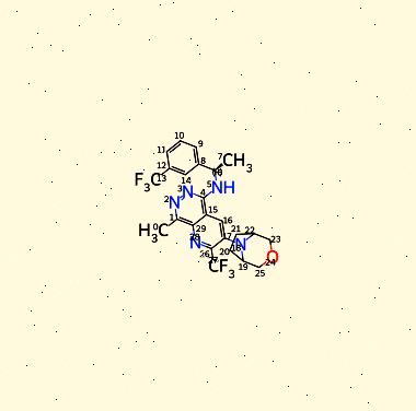 Cc1nnc(N[C@H](C)c2cccc(C(F)(F)F)c2)c2cc(N3C4CCC3COC4)c(C(F)(F)F)nc12